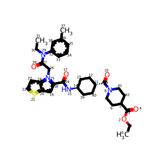 CCOC(=O)C1CCN(C(=O)[C@H]2CC[C@H](NC(=O)c3cc4sccc4n3CC(=O)N(CC)c3cccc(C)c3)CC2)CC1